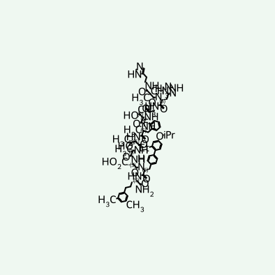 CCc1cc(OC(C)C)ccc1-c1ccc(C[C@H](NC(=O)[C@H](CC(=O)O)NC(=O)[C@H](C)NC(=O)[C@@H](NC(=O)[C@](C)(Cc2ccccc2F)NC(=O)[C@@H](NC(=O)CNC(=O)[C@H](Cc2nn[nH]n2)NC(=O)C(C)(C)C(=O)NCCc2cnc[nH]2)[C@@H](C)O)[C@@H](C)O)C(=O)N[C@@H](CCCc2cc(C)cc(C)c2)C(N)=O)cc1